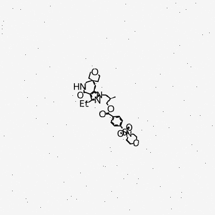 CCc1nn(C[C@@H](C)COC(=O)c2ccc(S(=O)(=O)N3CCOCC3)cc2)c2c1C(=O)NCC1(CCOCC1)C2